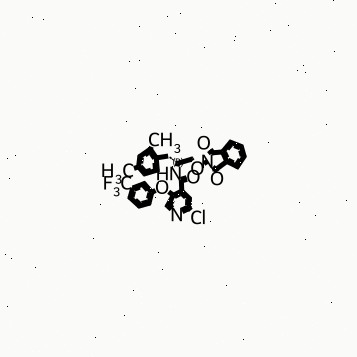 Cc1ccc(C[C@H](CON2C(=O)c3ccccc3C2=O)NC(=O)c2cc(Cl)ncc2Oc2cccc(C(F)(F)F)c2)c(C)c1